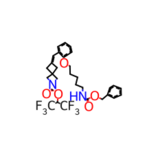 O=C(NCCCCCOc1ccccc1C=C1CC2(C1)CN(C(=O)OC(C(F)(F)F)C(F)(F)F)C2)OCc1ccccc1